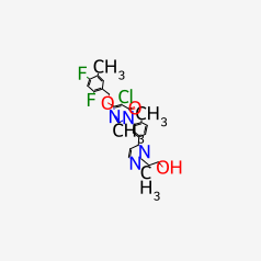 Cc1cc(COc2nc(C)n(-c3cc(-c4ccnc(C(C)CO)n4)ccc3C)c(=O)c2Cl)c(F)cc1F